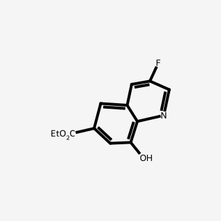 CCOC(=O)c1cc(O)c2ncc(F)cc2c1